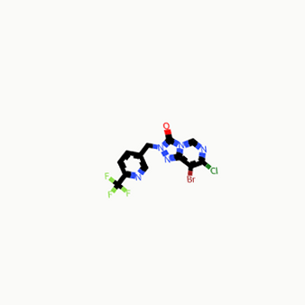 O=c1n(Cc2ccc(C(F)(F)F)nc2)nc2c(Br)c(Cl)ncn12